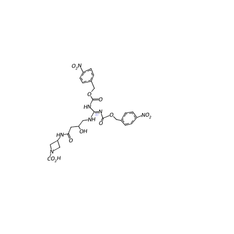 O=C(CC(O)CN/C(=N\C(=O)OCc1ccc([N+](=O)[O-])cc1)NC(=O)OCc1ccc([N+](=O)[O-])cc1)NC1CN(C(=O)O)C1